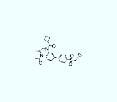 CC(=O)N1c2ccc(-c3ccc(S(=O)(=O)CC4CC4)cc3)cc2N(C(=O)C2CCC2)C[C@@H]1C